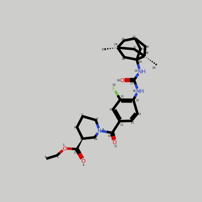 CCOC(=O)[C@H]1CCCN(C(=O)c2ccc(NC(=O)NC34CC5C[C@](C)(C3)C[C@@]4(C)C5)c(F)c2)C1